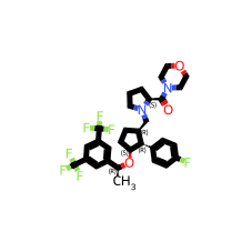 C[C@@H](O[C@H]1CC[C@@H](CN2CCC[C@H]2C(=O)N2CCOCC2)[C@@H]1c1ccc(F)cc1)c1cc(C(F)(F)F)cc(C(F)(F)F)c1